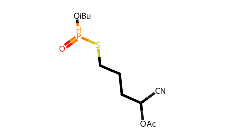 CC(=O)OC(C#N)CCCS[PH](=O)OCC(C)C